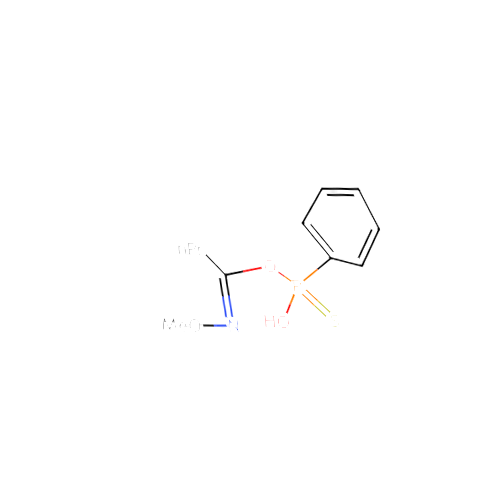 CCCC(=NOC)OP(O)(=S)c1ccccc1